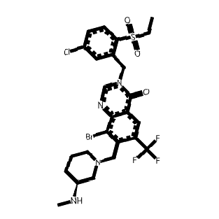 CCS(=O)(=O)c1ccc(Cl)cc1Cn1cnc2c(Br)c(CN3CCC[C@H](NC)C3)c(C(F)(F)F)cc2c1=O